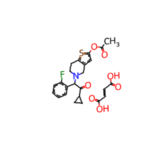 CC(=O)Oc1cc2c(s1)CCN(C(C(=O)C1CC1)c1ccccc1F)C2.O=C(O)C=CC(=O)O